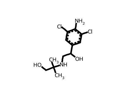 CC(C)(CO)NCC(O)c1cc(Cl)c(N)c(Cl)c1